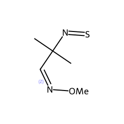 CO/N=C\C(C)(C)N=S